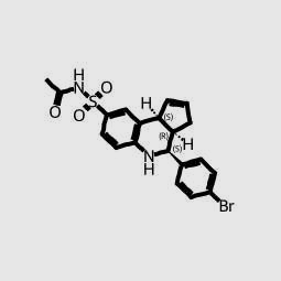 CC(=O)NS(=O)(=O)c1ccc2c(c1)[C@H]1C=CC[C@H]1[C@@H](c1ccc(Br)cc1)N2